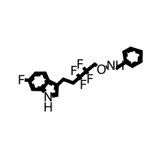 Fc1ccc2c(CCC(F)(F)C(F)(F)CONCc3ccccc3)c[nH]c2c1